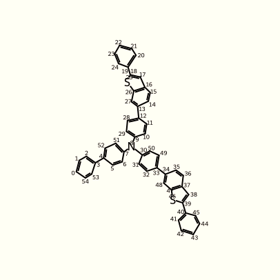 c1ccc(-c2ccc(N(c3ccc(-c4ccc5cc(-c6ccccc6)sc5c4)cc3)c3ccc(-c4ccc5cc(-c6ccccc6)sc5c4)cc3)cc2)cc1